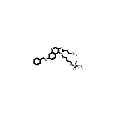 CCCc1nc2cnc3cc(OCc4ccccc4)ccc3c2n1CCCCNS(C)(=O)=O